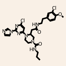 CCCNC(=O)N1CCN(c2cc(Cl)nc(-n3ccnc3)n2)C(CC(=O)NCCc2ccc(OC)c(Cl)c2)C1